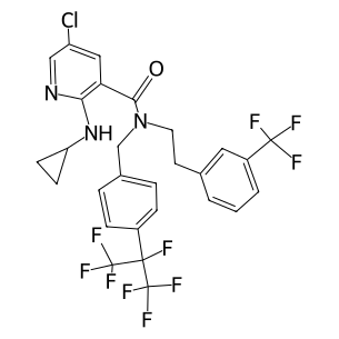 O=C(c1cc(Cl)cnc1NC1CC1)N(CCc1cccc(C(F)(F)F)c1)Cc1ccc(C(F)(C(F)(F)F)C(F)(F)F)cc1